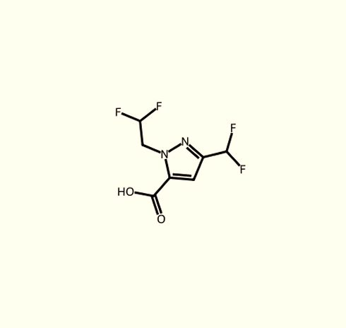 O=C(O)c1cc(C(F)F)nn1CC(F)F